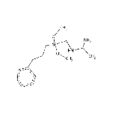 CO[Si](CCCc1ccccc1)(CNC(C)N)OC